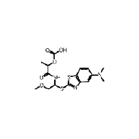 COCC(NC(=O)C(C)OC(=O)O)Sc1nc2cc(N(C)C)ccc2s1